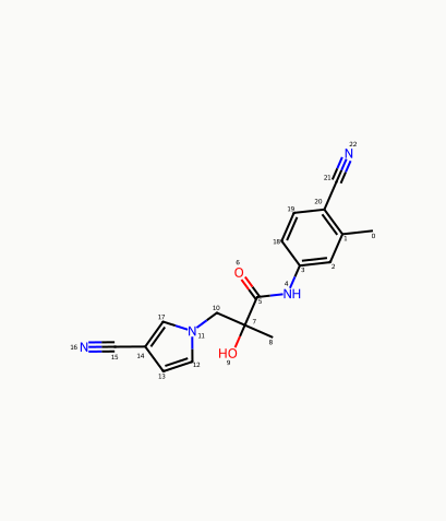 Cc1cc(NC(=O)C(C)(O)Cn2ccc(C#N)c2)ccc1C#N